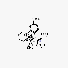 COc1ccc2c(c1)[C@]13CCCC[C@@H]1[C@H](C2)N(C)CC3.O=C(O)/C=C/C(=O)O